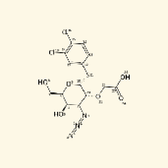 [N-]=[N+]=NC1[C@@H](O)[C@@H](CO)O[C@H](Sc2ccc(Cl)c(Cl)c2)[C@@H]1OCC(=O)O